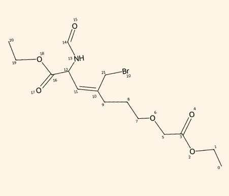 CCOC(=O)COCCC/C(=C/C(NC=O)C(=O)OCC)CBr